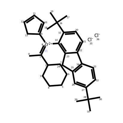 C/[C](C1CCCCC1)=[Zr+2](\[C]1=CC=CC1)[c]1c(C(C)(C)C)ccc2c1Cc1cc(C(C)(C)C)ccc1-2.[Cl-].[Cl-]